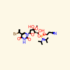 C=C(Br)c1cn([C@H]2C[C@@](O)(OC)[C@@H](C(O)OP(OCCC#N)N(C(C)C)C(C)C)O2)c(=O)[nH]c1=O